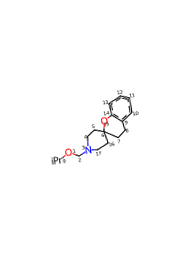 CC(C)OCN1CCC2(CCc3ccccc3O2)CC1